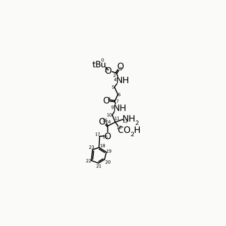 CC(C)(C)OC(=O)NCCC(=O)NCC(N)(C(=O)O)C(=O)OCc1ccccc1